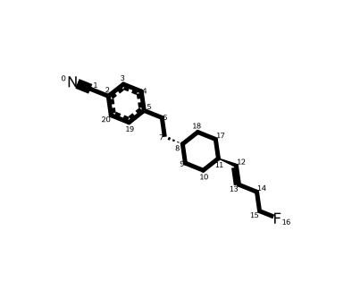 N#Cc1ccc(CC[C@H]2CC[C@H](/C=C/CCF)CC2)cc1